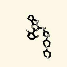 Fc1cccc(F)c1-c1nc(Nc2cnn(C3CCN(C4CCOCC4)CC3)c2)n2nc3c(c2n1)CCC3